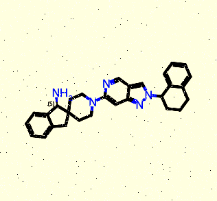 N[C@@H]1c2ccccc2CC12CCN(c1cc3nn(C4CCCc5ccccc54)cc3cn1)CC2